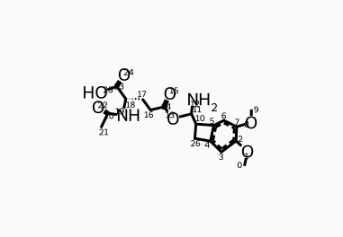 COc1cc2c(cc1OC)C(C(N)OC(=O)CC[C@H](NC(C)=O)C(=O)O)C2